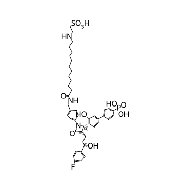 O=C(CCCCCCCCCCCNCCS(=O)(=O)O)NCc1ccc(N2C(=O)[C@H](CC[C@H](O)c3ccc(F)cc3)[C@H]2c2ccc(-c3ccc(P(=O)(O)O)cc3)cc2O)cc1